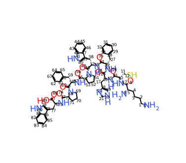 NCCCC[C@H](N)C(=O)N[C@@H](CS)C(=O)N[C@@H](Cc1c[nH]cn1)C(=O)N[C@@H](Cc1ccccc1)C(=O)N[C@@H](Cc1c[nH]c2ccccc12)C(=O)N1CCC[C@H]1C(=O)N[C@@H](Cc1ccccc1)C(=O)N1CCC[C@H]1C(=O)N[C@@H](Cc1c[nH]c2ccccc12)C(=O)O